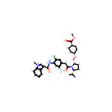 COC(=O)[C@H]1CC[C@H](OC[C@@H]2CC[C@H](C(C)C)N2C(=O)Cc2cc(Cl)c(NC(=O)c3cn(C)c4ccccc34)cc2F)CC1